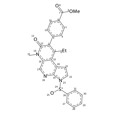 CCc1c(-c2ccc(C(=O)OC)cc2)c(=O)n(C)c2cnc3c(ccn3[S+]([O-])c3ccccc3)c12